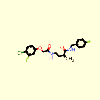 C=C(CCNC(=O)COc1ccc(Cl)c(F)c1)C(=O)NCc1ccc(F)cc1